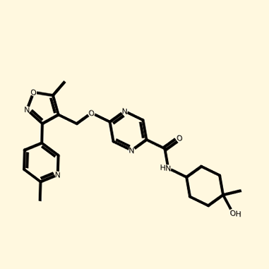 Cc1ccc(-c2noc(C)c2COc2cnc(C(=O)NC3CCC(C)(O)CC3)cn2)cn1